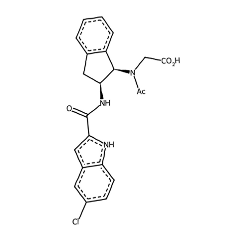 CC(=O)N(CC(=O)O)[C@@H]1c2ccccc2C[C@@H]1NC(=O)c1cc2cc(Cl)ccc2[nH]1